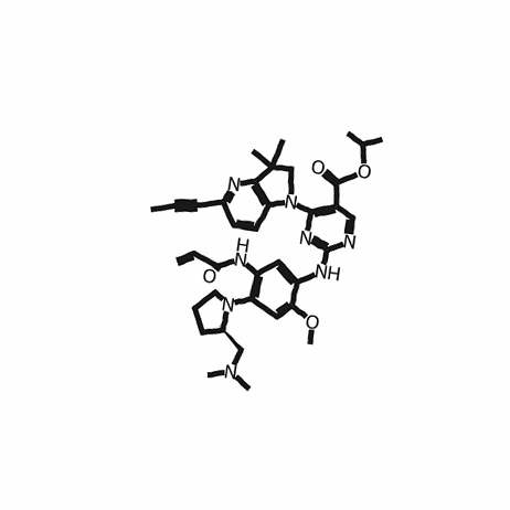 C=CC(=O)Nc1cc(Nc2ncc(C(=O)OC(C)C)c(N3CC(C)(C)c4nc(C#CC)ccc43)n2)c(OC)cc1N1CCC[C@@H]1CN(C)C